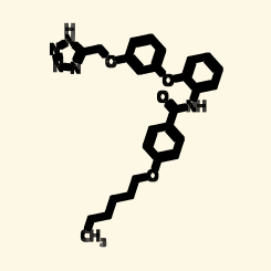 CCCCCCOc1ccc(C(=O)Nc2ccccc2Oc2cccc(OCc3nnn[nH]3)c2)cc1